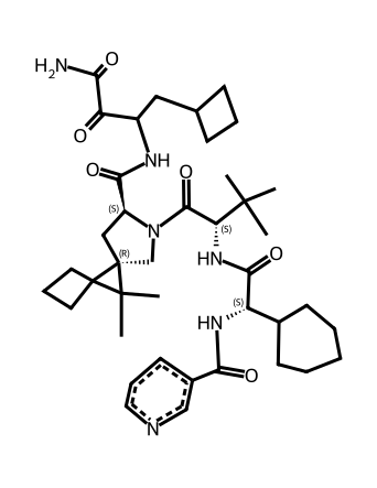 CC(C)(C)[C@H](NC(=O)[C@@H](NC(=O)c1cccnc1)C1CCCCC1)C(=O)N1C[C@]2(C[C@H]1C(=O)NC(CC1CCC1)C(=O)C(N)=O)C(C)(C)C21CCC1